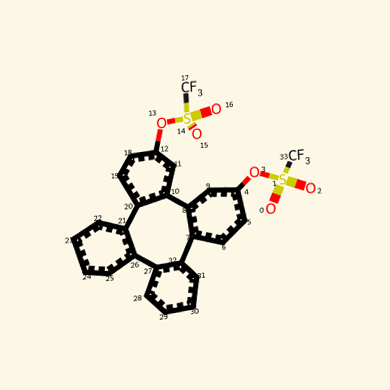 O=S(=O)(Oc1ccc2c(c1)-c1cc(OS(=O)(=O)C(F)(F)F)ccc1-c1ccccc1-c1ccccc1-2)C(F)(F)F